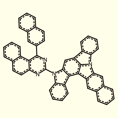 c1ccc2cc(-c3nc(-n4c5ccccc5c5c6c7cc8ccccc8cc7n7c8ccccc8c(cc54)c67)nc4ccc5ccccc5c34)ccc2c1